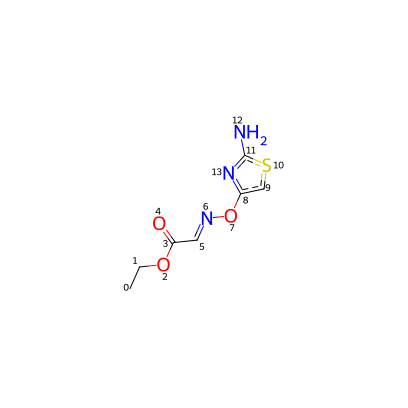 CCOC(=O)C=NOc1csc(N)n1